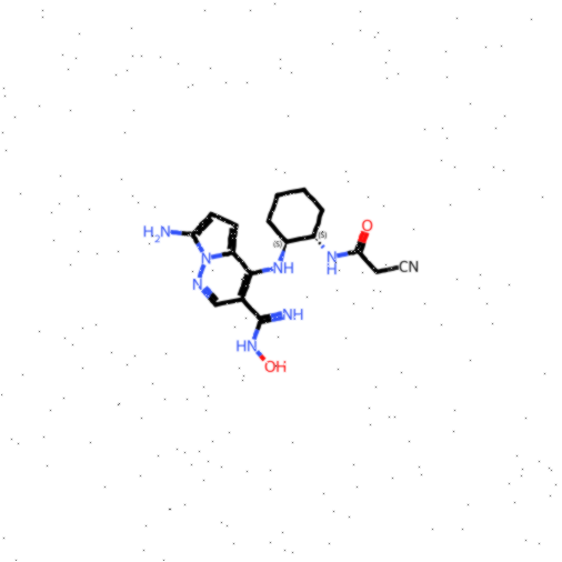 N#CCC(=O)N[C@H]1CCCC[C@@H]1Nc1c(C(=N)NO)cnn2c(N)ccc12